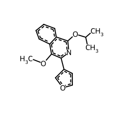 COc1c(-c2ccoc2)nc(OC(C)C)c2ccccc12